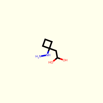 NNC1(CC(O)O)CCC1